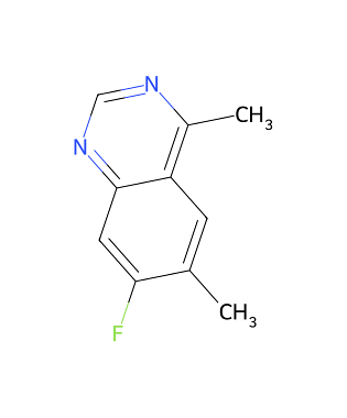 Cc1cc2c(C)ncnc2cc1F